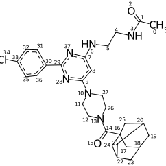 CC(=O)NCCNc1cc(N2CCN(C(=O)C34CC5CC(CC(C5)C3)C4)CC2)nc(-c2ccc(Cl)cc2)n1